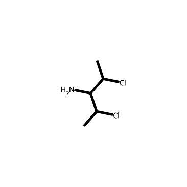 CC(Cl)C(N)C(C)Cl